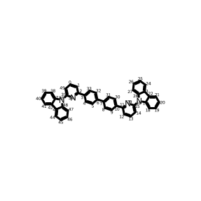 c1cc(-c2ccc(-c3ccc(-c4cccc(-n5c6ccccc6c6ccccc65)n4)cc3)cc2)nc(-n2c3ccccc3c3ccccc32)c1